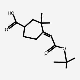 CC(C)(C)OC(=O)/C=C1\CCC(C(=O)O)CC1(C)C